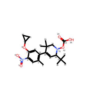 Cc1cc([N+](=O)[O-])c(OC2CC2)cc1C1=CC(C(C)(C)C)N(OC(=O)O)CC1(C)C